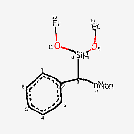 CCCCCCCCCC(c1ccccc1)[SiH](OCC)OCC